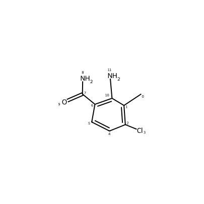 Cc1c(Cl)ccc(C(N)=O)c1N